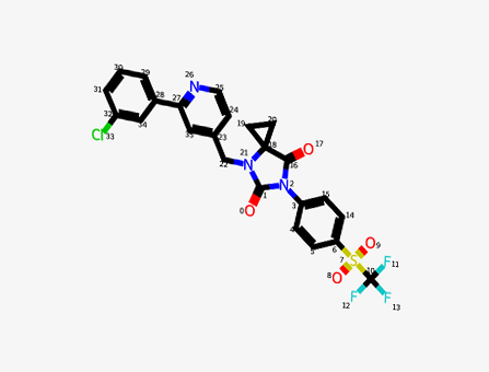 O=C1N(c2ccc(S(=O)(=O)C(F)(F)F)cc2)C(=O)C2(CC2)N1Cc1ccnc(-c2cccc(Cl)c2)c1